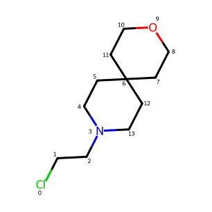 ClCCN1CCC2(CCOCC2)CC1